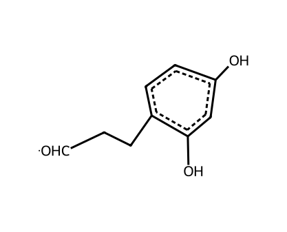 O=[C]CCc1ccc(O)cc1O